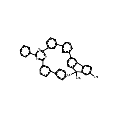 CC1(C)c2ccc(-c3cccc(-c4cccc(-c5nc(-c6ccccc6)nc(-c6cccc(-c7ccccc7)c6)n5)c4)c3)cc2-c2ccc(C#N)cc21